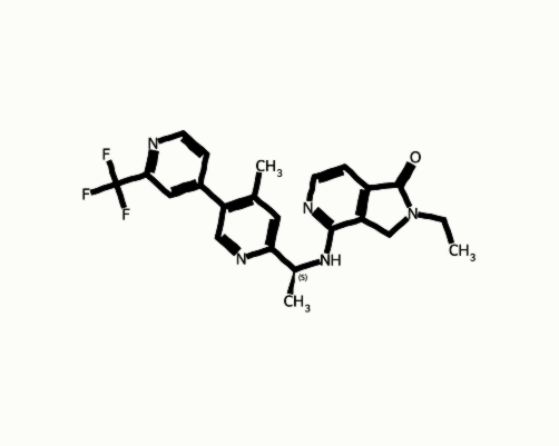 CCN1Cc2c(ccnc2N[C@@H](C)c2cc(C)c(-c3ccnc(C(F)(F)F)c3)cn2)C1=O